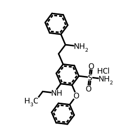 CCNc1cc(CC(N)c2ccccc2)cc(S(N)(=O)=O)c1Oc1ccccc1.Cl